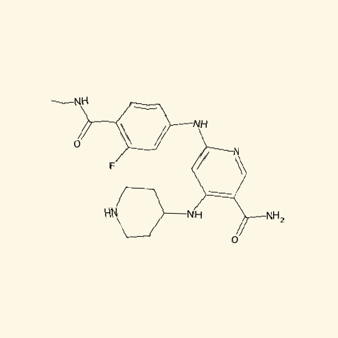 CNC(=O)c1ccc(Nc2cc(NC3CCNCC3)c(C(N)=O)cn2)cc1F